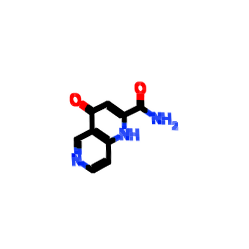 NC(=O)c1cc(=O)c2cnccc2[nH]1